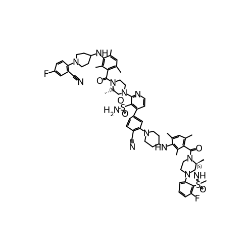 Cc1cc(C)c(C(=O)N2CCN(c3cccc(F)c3S(C)(=N)=O)C[C@@H]2C)c(C)c1NC1CCN(c2cc(-c3ccnc(N4CCN(C(=O)c5c(C)cc(C)c(NC6CCN(c7ccc(F)cc7C#N)CC6)c5C)[C@@H](C)C4)c3S(N)(=O)=O)ccc2C#N)CC1